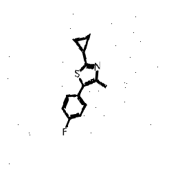 Cc1nc(C2CC2)sc1-c1ccc(F)cc1